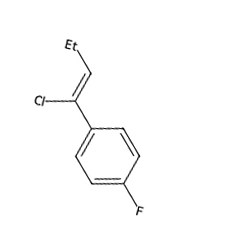 CCC=C(Cl)c1ccc(F)cc1